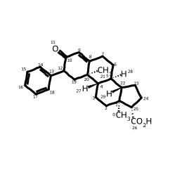 C[C@]12CC[C@H]3[C@@H](CCC4=CC(=O)C(c5ccccc5)C[C@@]43C)[C@@H]1CC[C@@H]2C(=O)O